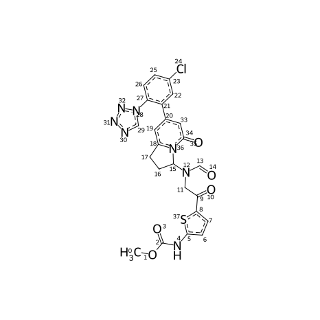 COC(=O)Nc1ccc(C(=O)CN(C=O)C2CCc3cc(-c4cc(Cl)ccc4-n4cnnn4)cc(=O)n32)s1